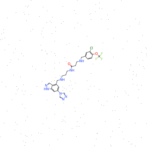 O=C(CCNCc1ccc(OC(F)(F)F)c(Cl)c1)NCCCNCc1cc(-n2cnnc2)cc2[nH]ncc12